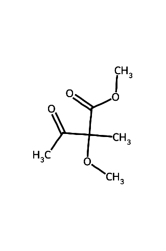 COC(=O)C(C)(OC)C(C)=O